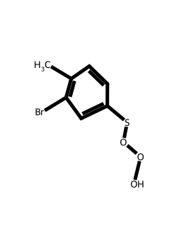 Cc1ccc(SOOO)cc1Br